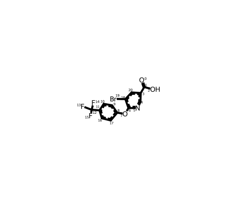 O=C(O)c1cnc(Oc2ccc(C(F)(F)F)cc2)c(Br)c1